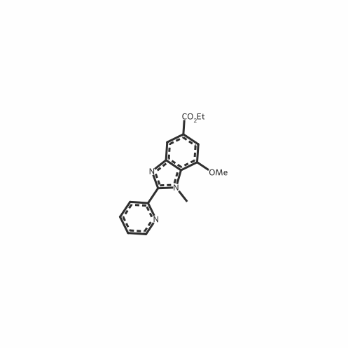 CCOC(=O)c1cc(OC)c2c(c1)nc(-c1ccccn1)n2C